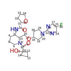 O=C(NC1CCCN(C(=O)C2(O)CCC2)C1COC1CCN(c2ncc(F)cn2)CC1)[C@@H]1CCCO1